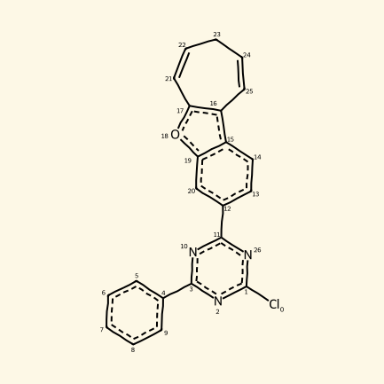 Clc1nc(-c2ccccc2)nc(-c2ccc3c4c(oc3c2)C=CCC=C4)n1